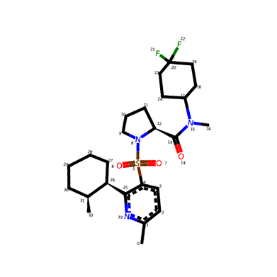 Cc1ccc(S(=O)(=O)N2CCC[C@H]2C(=O)N(C)C2CCC(F)(F)CC2)c([C@@H]2CCCC[C@@H]2C)n1